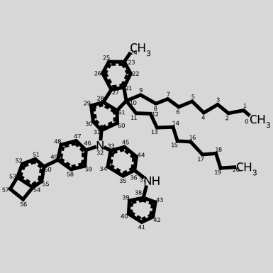 CCCCCCCCCCC1(CCCCCCCCCC)c2cc(C)ccc2-c2ccc(N(c3ccc(Nc4ccccc4)cc3)c3ccc(-c4ccc5c(c4)CC5)cc3)cc21